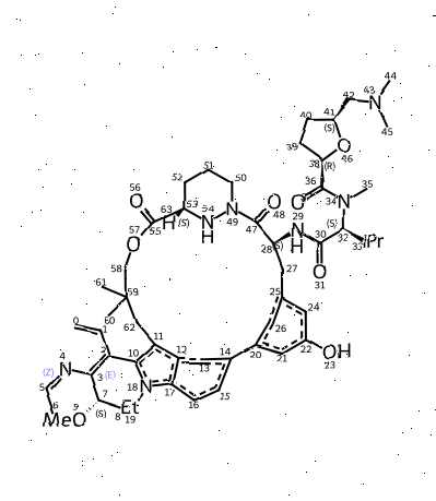 C=C/C(=C(\N=C/C)[C@H](C)OC)c1c2c3cc(ccc3n1CC)-c1cc(O)cc(c1)C[C@H](NC(=O)[C@H](C(C)C)N(C)C(=O)[C@H]1CC[C@@H](CN(C)C)O1)C(=O)N1CCC[C@H](N1)C(=O)OCC(C)(C)C2